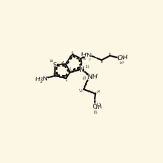 Nc1cc2c(cc(NCCO)n2NCCO)s1